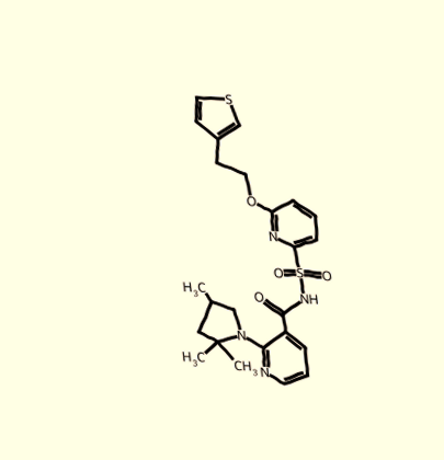 CC1CN(c2ncccc2C(=O)NS(=O)(=O)c2cccc(OCCc3ccsc3)n2)C(C)(C)C1